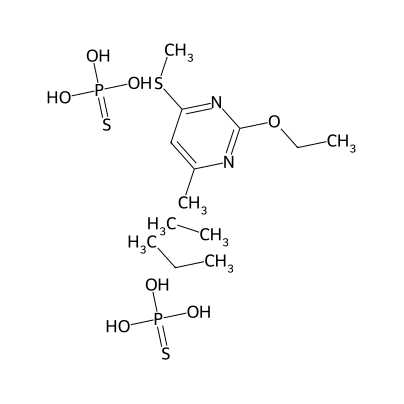 CC.CCC.CCOc1nc(C)cc(SC)n1.OP(O)(O)=S.OP(O)(O)=S